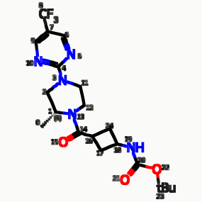 C[C@@H]1CN(c2ncc(C(F)(F)F)cn2)CCN1C(=O)C1CC(NC(=O)OC(C)(C)C)C1